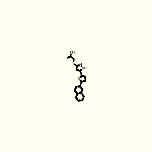 CC(=O)CSc1cc(-c2ccc(-c3ccc4ccccc4c3)s2)[nH]n1